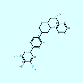 C[C@@H](CC1CCC(c2ccc(-c3cc(F)c(F)c(F)c3)cc2)CC1)c1ccccc1